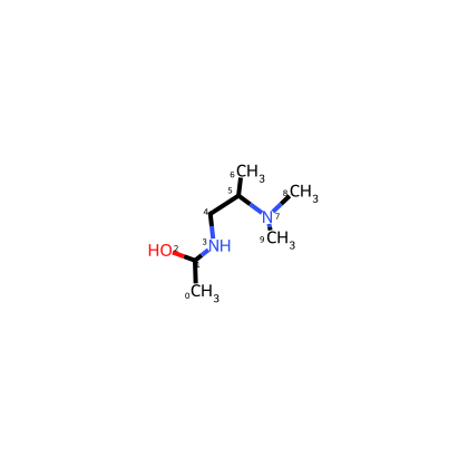 CC(O)NCC(C)N(C)C